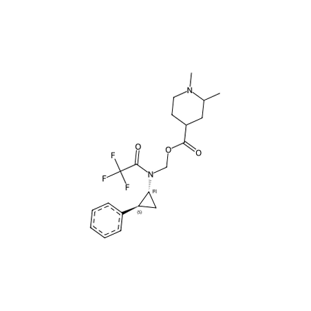 CC1CC(C(=O)OCN(C(=O)C(F)(F)F)[C@@H]2C[C@H]2c2ccccc2)CCN1C